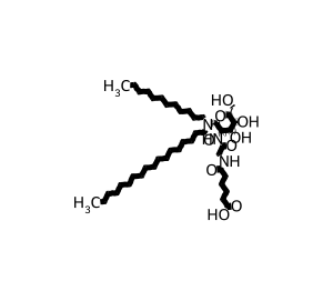 CCCCCCCCCCCCCCCCCC(=O)N(CCCCCCCCCCCC)[C@@H]1O[C@H](CO)[C@@H](O)[C@H](O)[C@H]1NC(=O)CNC(=O)CCCCC(=O)O